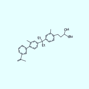 C=C(C)c1cccc(-c2ccc(C(CC)(CC)c3ccc(CCC(O)C(C)(C)C)c(C)c3)cc2C)c1